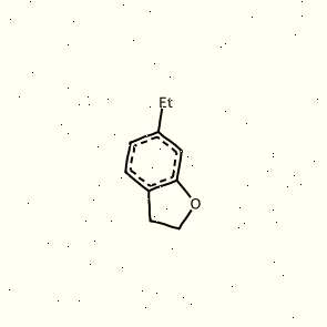 CCc1ccc2c(c1)OCC2